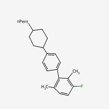 CCCCCC1CCC(c2ccc(-c3c(C)ccc(F)c3C)cc2)CC1